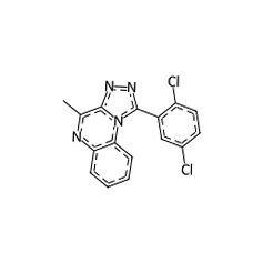 Cc1nc2ccccc2n2c(-c3cc(Cl)ccc3Cl)nnc12